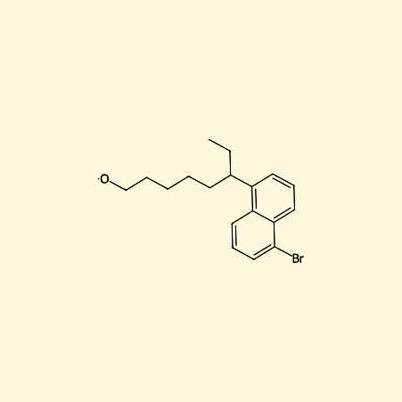 CCC(CCCCC[O])c1cccc2c(Br)cccc12